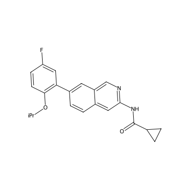 CC(C)Oc1ccc(F)cc1-c1ccc2cc(NC(=O)C3CC3)ncc2c1